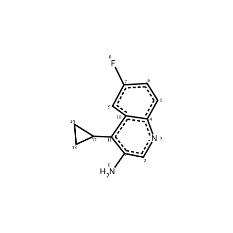 Nc1cnc2ccc(F)cc2c1C1CC1